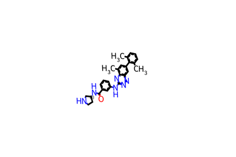 Cc1cccc(C)c1-c1cc(C)c2nc(Nc3cccc(C(=O)N[C@@H]4CCNC4)c3)nnc2c1